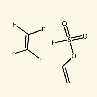 C=COS(=O)(=O)F.FC(F)=C(F)F